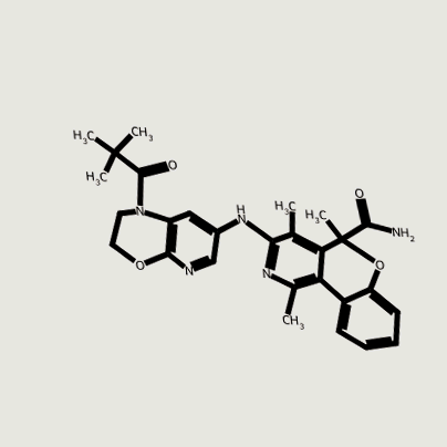 Cc1nc(Nc2cnc3c(c2)N(C(=O)C(C)(C)C)CCO3)c(C)c2c1-c1ccccc1OC2(C)C(N)=O